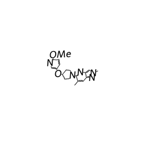 COc1ccc(OC2CCN(c3nc4cn(C)nc4cc3C)CC2)cn1